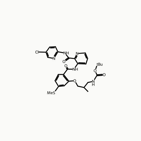 CSc1ccc(C(=O)Nc2cccnc2C(=O)Nc2ccc(Cl)cn2)c(OCC(C)CNC(=O)OC(C)(C)C)c1